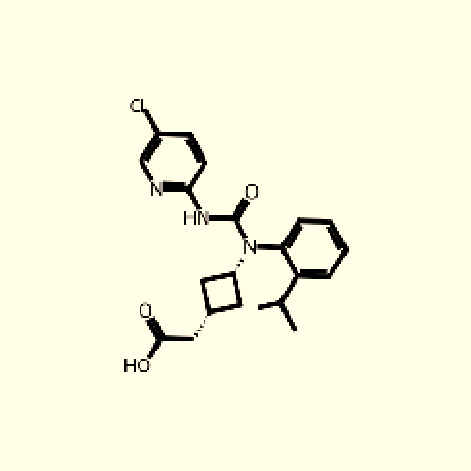 CC(C)c1ccccc1N(C(=O)Nc1ccc(Cl)cn1)[C@H]1C[C@@H](CC(=O)O)C1